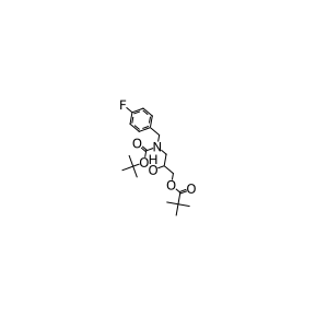 CC(C)(C)OC(=O)N(Cc1ccc(F)cc1)CC(O)COC(=O)C(C)(C)C